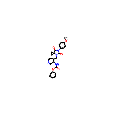 O=C(Nc1cnccc1CN1C(=O)N(c2ccc(OC(F)(F)F)cc2)C(=O)C12CC2)Oc1ccccc1